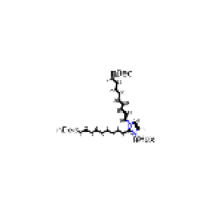 CCCCCCCCCCCCCCCCCCCC1N(CCCCCC)C=CN1CCCCCCCCCCCCCCCCCCC